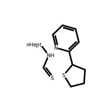 CCCCCCCNC=S.c1ccc(C2CCCS2)nc1